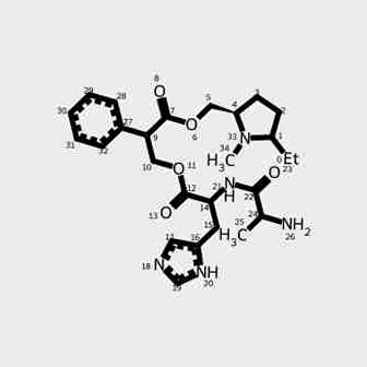 CCC1CC[C@H](COC(=O)C(COC(=O)C(Cc2cnc[nH]2)NC(=O)C(C)N)c2ccccc2)N1C